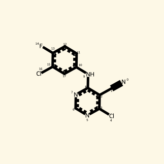 N#Cc1c(Cl)ncnc1Nc1ccc(F)c(Cl)c1